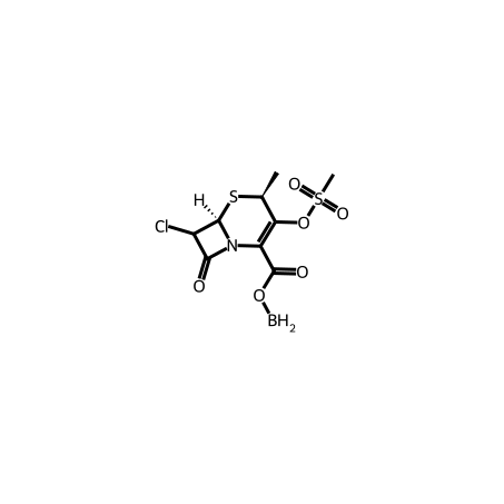 BOC(=O)C1=C(OS(C)(=O)=O)[C@H](C)S[C@@H]2C(Cl)C(=O)N12